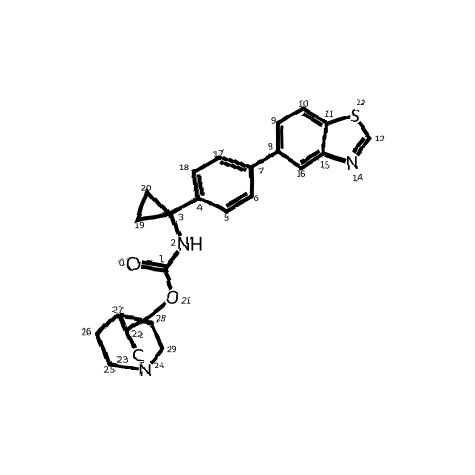 O=C(NC1(c2ccc(-c3ccc4scnc4c3)cc2)CC1)OC1CN2CCC1CC2